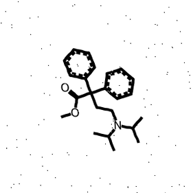 COC(=O)C(CCN(C(C)C)C(C)C)(c1ccccc1)c1ccccc1